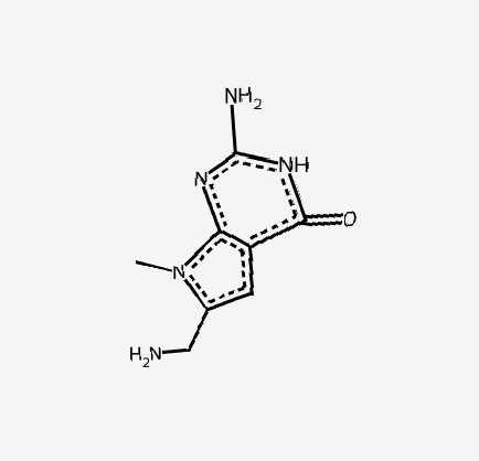 Cn1c(CN)cc2c(=O)[nH]c(N)nc21